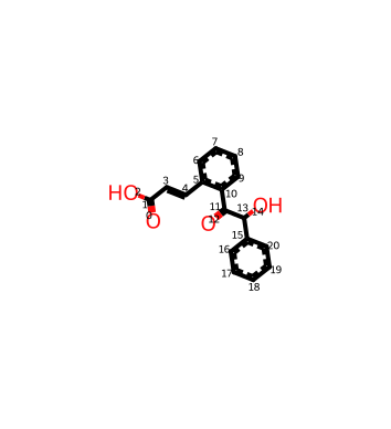 O=C(O)C=Cc1ccccc1C(=O)C(O)c1ccccc1